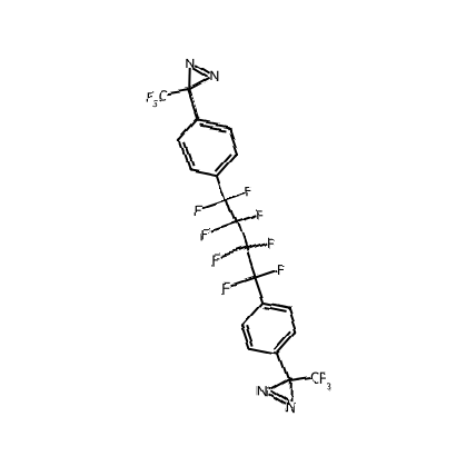 FC(F)(F)C1(c2ccc(C(F)(F)C(F)(F)C(F)(F)C(F)(F)c3ccc(C4(C(F)(F)F)N=N4)cc3)cc2)N=N1